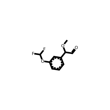 COC(C=O)c1cccc(OC(F)F)c1